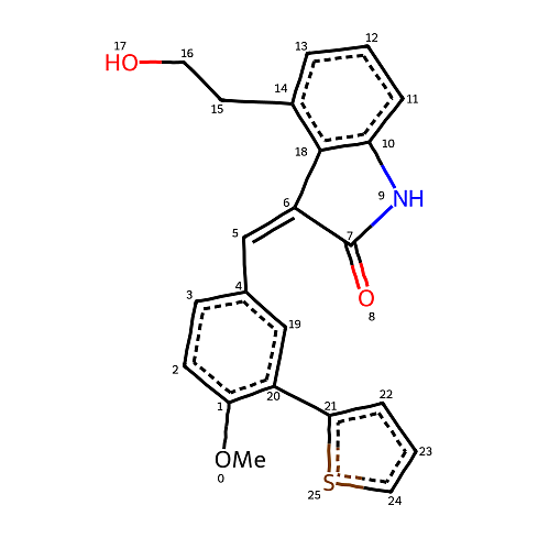 COc1ccc(C=C2C(=O)Nc3cccc(CCO)c32)cc1-c1cccs1